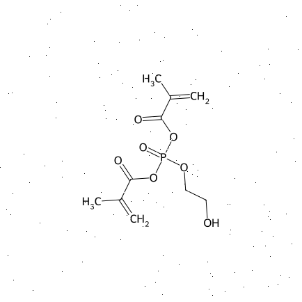 C=C(C)C(=O)OP(=O)(OCCO)OC(=O)C(=C)C